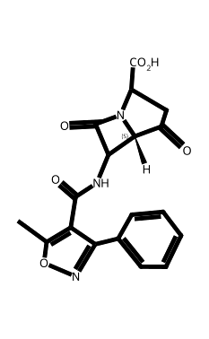 Cc1onc(-c2ccccc2)c1C(=O)NC1C(=O)N2C(C(=O)O)CC(=O)[C@H]12